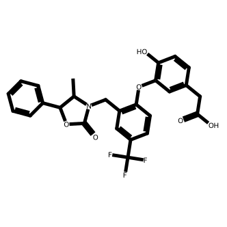 CC1C(c2ccccc2)OC(=O)N1Cc1cc(C(F)(F)F)ccc1Oc1cc(CC(=O)O)ccc1O